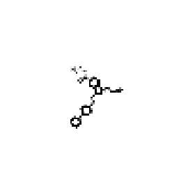 COC(=O)c1ccc2c(c1)c(CCc1ccc(-c3ccccc3)cc1)cn2CCC#N